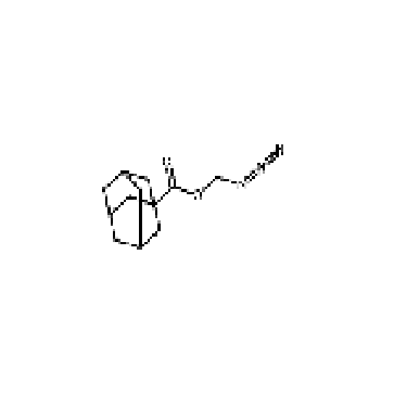 [N-]=[N+]=NCOC(=O)C12CC3CC(CC(C3)C1)C2